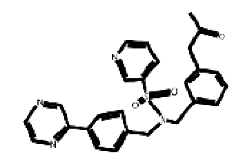 CC(=O)Cc1cccc(CN(Cc2ccc(-c3cnccn3)cc2)S(=O)(=O)c2cccnc2)c1